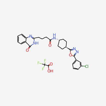 O=C(CCCc1nc2ccccc2c(=O)[nH]1)N[C@H]1CC[C@H](c2nnc(-c3cccc(Cl)c3)o2)CC1.O=C(O)C(F)(F)F